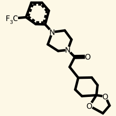 O=C(CC1CCC2(CC1)OCCO2)N1CCN(c2cccc(C(F)(F)F)c2)CC1